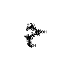 CCCn1c(=O)n(CCC(=O)OCCn2c(=O)n(CCO)c(=O)n(CCOC(=O)CC(O)(CC(=O)OC(C)(C)CC)C(=O)O)c2=O)c(=O)n(CCC(=O)OC(C)(C)CC(C)O)c1=O